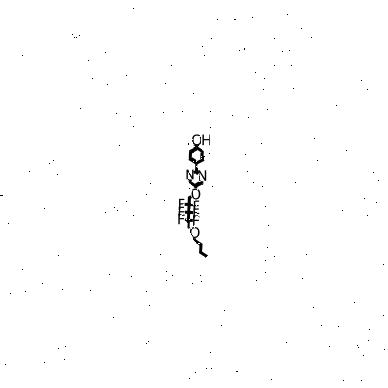 CCCCOCC(F)(F)C(F)(F)C(F)(F)COc1cnc(-c2ccc(O)cc2)nc1